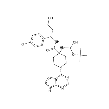 CC(C)(C)OC(O)NC1(C(=O)N[C@@H](CCO)c2ccc(Cl)cc2)CCN(c2ncnc3[nH]ccc23)CC1